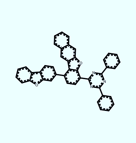 c1ccc(-c2nc(-c3ccccc3)nc(-c3ccc(-c4ccc5c(c4)oc4ccccc45)c4c3oc3cc5ccccc5cc34)n2)cc1